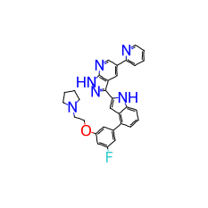 Fc1cc(OCCN2CCCC2)cc(-c2cccc3[nH]c(-c4n[nH]c5ncc(-c6ccccn6)cc45)cc23)c1